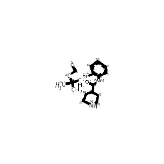 CC(C)(C)OC=O.O=C(Nc1ccccc1Br)C1CCNCC1